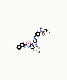 CC(=O)Nc1ccc(CN2CC[C@H](NC(=O)[C@H](CC(C)C)NC(=O)c3ccc4ccccc4c3)C2)cc1